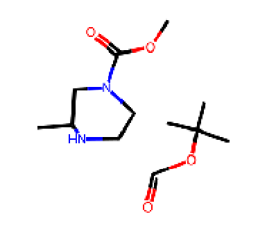 CC(C)(C)OC=O.COC(=O)N1CCNC(C)C1